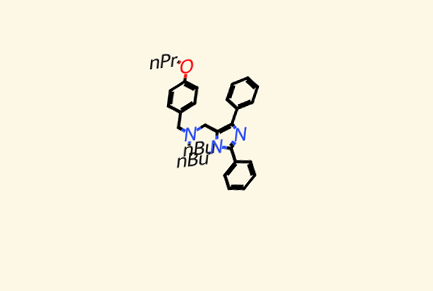 CCCCN(Cc1ccc(OCCC)cc1)Cc1c(-c2ccccc2)nc(-c2ccccc2)n1CCCC